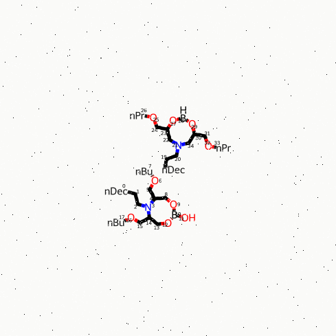 CCCCCCCCCCCCN1C(COCCCC)COB(O)OCC1COCCCC.CCCCCCCCCCCCN1CC(COCCC)OBOC(COCCC)C1